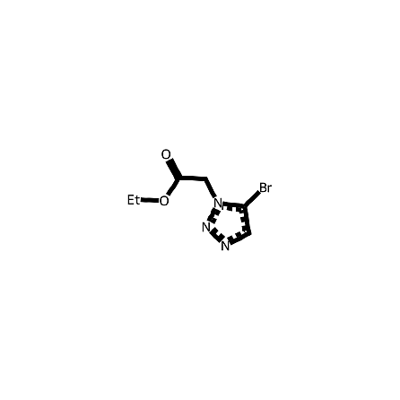 CCOC(=O)Cn1nncc1Br